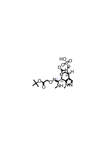 CN/C(=N\OCC(=O)OC(C)(C)C)[C@@H]1c2c(cnn2C)[C@@H]2CN1C(=O)N2OS(=O)(=O)O